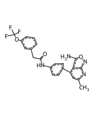 Cc1cc(-c2ccc(NC(=O)Cc3cccc(OC(F)(F)F)c3)cc2)c2c(N)onc2n1